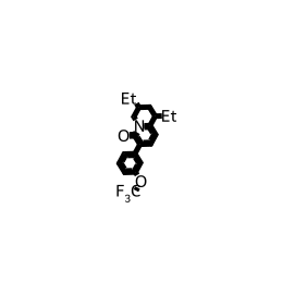 CCC1CC(CC)c2ccc(-c3cccc(OC(F)(F)F)c3)c(=O)n2C1